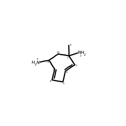 CC1(N)/C=C/C/C=C/C(N)C1